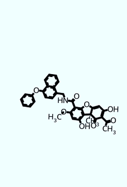 COc1cc(O)c2c(c1C(=O)NCc1ccc(Oc3ccccc3)c3ccccc13)OC1=CC(O)=C(C(C)=O)C(=O)[C@]12C